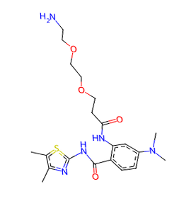 Cc1nc(NC(=O)c2ccc(N(C)C)cc2NC(=O)CCOCCOCCN)sc1C